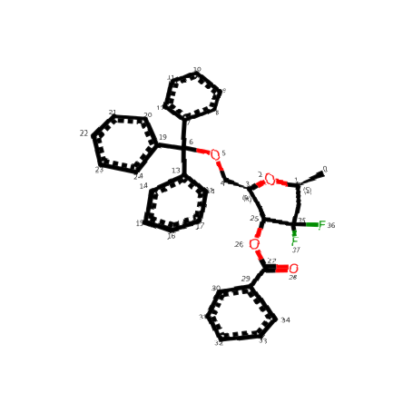 C[C@@H]1O[C@H](COC(c2ccccc2)(c2ccccc2)c2ccccc2)C(OC(=O)c2ccccc2)C1(F)F